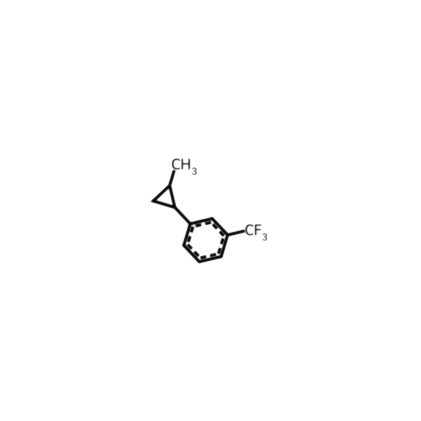 CC1CC1c1cccc(C(F)(F)F)c1